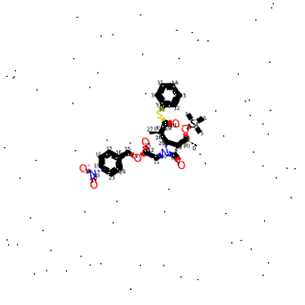 C[C@@H](O[Si](C)(C)C)[C@H]1C(=O)N(CC(=O)OCc2ccc([N+](=O)[O-])cc2)[C@@H]1[C@@H](C)C(=O)Sc1ccccc1